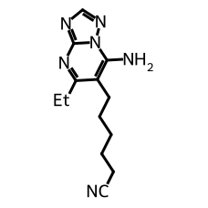 CCc1nc2ncnn2c(N)c1CCCCCC#N